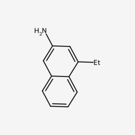 CCc1cc(N)cc2ccccc12